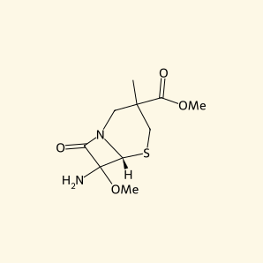 COC(=O)C1(C)CS[C@H]2N(C1)C(=O)C2(N)OC